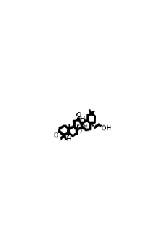 CC1(C)CC[C@]2(CCO)CC[C@]3(C)[C@H](C(=O)C=C4[C@@]5(C)CCC(=O)C(C)(C)[C@@H]5CC[C@]43C)[C@@H]2C1